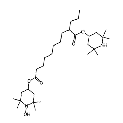 CCCC(CCCCCCCC(=O)OC1CC(C)(C)N(O)C(C)(C)C1)C(=O)OC1CC(C)(C)NC(C)(C)C1